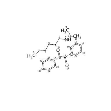 CCCCCCNC(C)C.O=C(C(=O)c1ccccc1)c1ccccc1